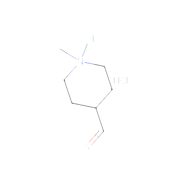 C[N+]1(Cl)CCC(C=O)CC1.Cl